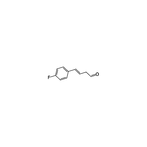 O=CCC=Cc1ccc(F)cc1